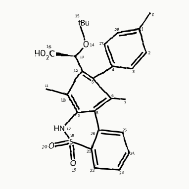 Cc1ccc(-c2c(C)c3c(c(C)c2[C@H](OC(C)(C)C)C(=O)O)NS(=O)(=O)c2ccccc2-3)cc1